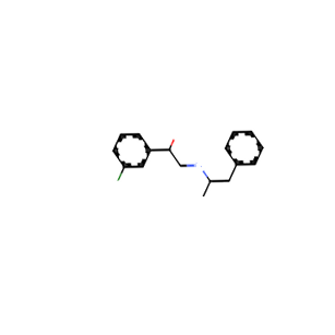 CC(Cc1ccccc1)NCC(O)c1cccc(Cl)c1